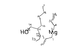 C=C[CH2][Mg][CH2]C=C.CCCCC(CC)CO